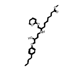 CCCCc1ccc(OCC(O)CCNC(CCCCCCC(=O)OC)COC2CCCCO2)cc1